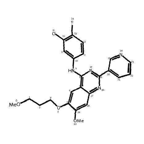 COCCCOc1cc2c(Nc3ccc(F)c(Cl)c3)nc(-c3cccnc3)nc2cc1OC